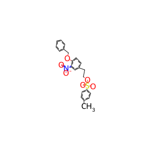 Cc1ccc(S(=O)(=O)OCCc2ccc(OCc3ccccc3)c([N+](=O)[O-])c2)cc1